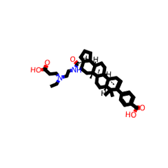 CCN(CCNC(=O)[C@]12CCC[C@@H]1[C@H]1CC[C@@H]3[C@@]4(C)CC=C(c5ccc(C(=O)O)cc5)C(C)(C)[C@@H]4CC[C@@]3(C)[C@]1(C)CC2)CCC(=O)O